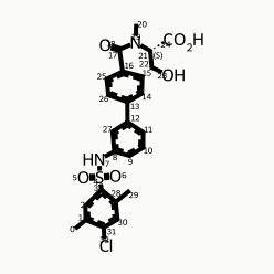 Cc1cc(S(=O)(=O)Nc2cccc(-c3ccc(C(=O)N(C)[C@@H](CO)C(=O)O)cc3)c2)c(C)cc1Cl